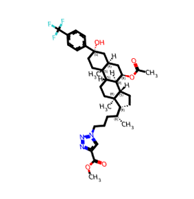 COC(=O)c1cn(CCC[C@@H](C)[C@H]2CC[C@H]3[C@@H]4[C@H](OC(C)=O)C[C@@H]5C[C@](O)(c6ccc(C(F)(F)F)cc6)CC[C@]5(C)[C@H]4CC[C@]23C)nn1